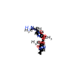 COc1cc2c(cc1OCCCOc1cc3c(cc1OC)C(=O)N1C=C(C4CC4)C[C@H]1C=N3)N=C[C@@H]1CC(/C(C)=C/C=C(\C)N)=CN1C2=O